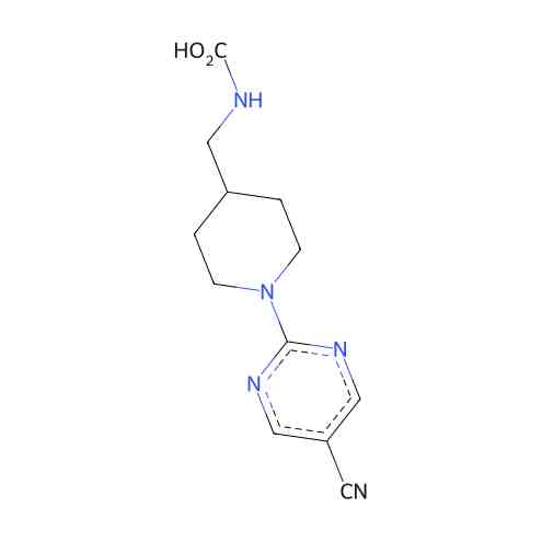 N#Cc1cnc(N2CCC(CNC(=O)O)CC2)nc1